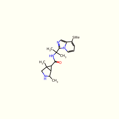 CSc1cccn2c(C(C)(C)NC(=O)C3C4C(C)NCC34C)ncc12